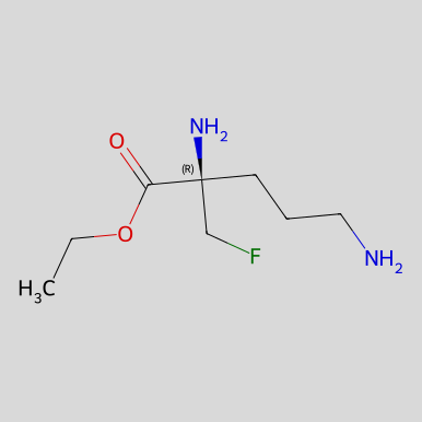 CCOC(=O)[C@@](N)(CF)CCCN